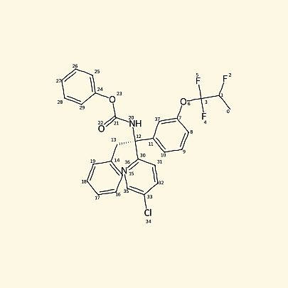 CC(F)C(F)(F)Oc1cccc([C@](Cc2ccccc2)(NC(=O)Oc2ccccc2)c2ccc(Cl)cn2)c1